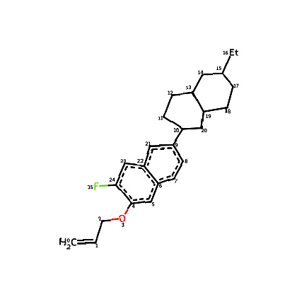 C=CCOc1cc2ccc(C3CCC4CC(CC)CCC4C3)cc2cc1F